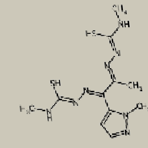 CN/C(S)=N/N=C(C)/C(=N/N=C(\S)NC)c1ccnn1C